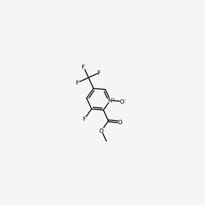 COC(=O)c1c(F)cc(C(F)(F)F)c[n+]1[O-]